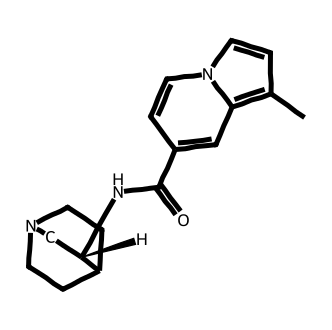 Cc1ccn2ccc(C(=O)N[C@H]3CN4CCC3CC4)cc12